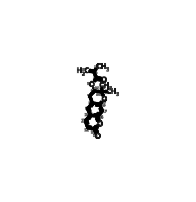 C=C(C)C(=O)O[C@H]1Cc2cc3ccc(=O)oc3cc2OC1(C)C